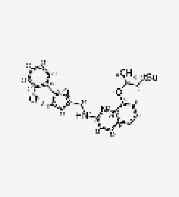 CC(CC(C)(C)C)Oc1cccc2ccc(NCc3ccc(-c4ccccc4C(F)(F)F)o3)nc12